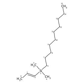 CC=C[Si](C)(C)CCCCCCCCCC